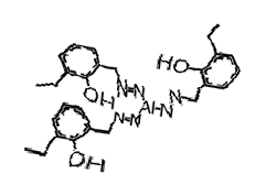 CCc1cccc(C/N=[N]/[Al](/[N]=N/Cc2cccc(CC)c2O)/[N]=N/Cc2cccc(CC)c2O)c1O